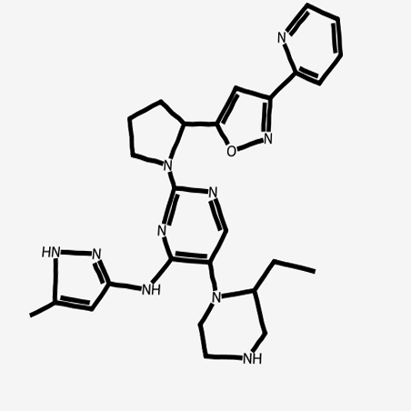 CCC1CNCCN1c1cnc(N2CCCC2c2cc(-c3ccccn3)no2)nc1Nc1cc(C)[nH]n1